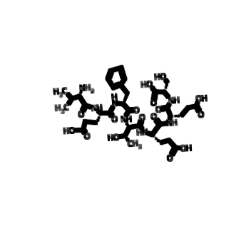 CC(C)[C@H](N)C(=O)N[C@@H](CCC(=O)O)C(=O)N[C@@H](Cc1ccccc1)C(=O)N[C@H](C(=O)N[C@@H](CCC(=O)O)C(=O)N[C@@H](CCC(=O)O)C(=O)N[C@@H](CO)C(=O)O)[C@@H](C)O